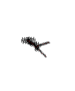 CCCCCCCCCCCCCCC(=O)OC[C@H](CSC[C@@H](N)C(=O)Nc1cn([C@@H]2[C@H](O)[C@H](O)[C@@H](O)[C@H](O)[C@H]2O)nn1)OC(=O)CCCCCCCCCCCCCC